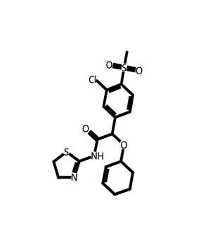 CS(=O)(=O)c1ccc(C(OC2C=CCCC2)C(=O)NC2=NCCS2)cc1Cl